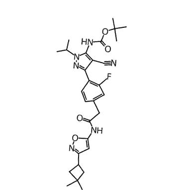 CC(C)n1nc(-c2ccc(CC(=O)Nc3cc(C4CC(C)(C)C4)no3)cc2F)c(C#N)c1NC(=O)OC(C)(C)C